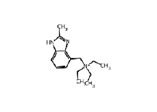 CC[N+](CC)(CC)Cc1cccc2[nH]c(C)nc12